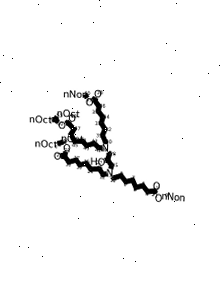 CCCCCCCCCOC(=O)CCCCCCCN(CCCCCCCC(=O)OC(CCCCCCCC)CCCCCCCC)CC(O)CN(CCCCCCCC(=O)OCCCCCCCCC)CCCCCCCC(=O)OC(CCCCCCCC)CCCCCCCC